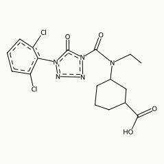 CCN(C(=O)n1nnn(-c2c(Cl)cccc2Cl)c1=O)C1CCCC(C(=O)O)C1